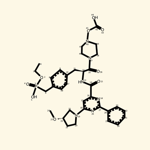 CCOP(=O)(O)Cc1ccc(C[C@H](NC(=O)c2cc(N3CC[C@H](OC)C3)nc(-c3ccccc3)n2)C(=O)N2CCN(OC(=O)O)CC2)cc1